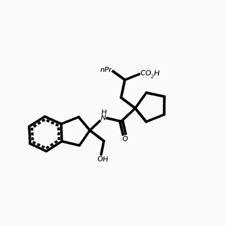 CCCC(CC1(C(=O)NC2(CO)Cc3ccccc3C2)CCCC1)C(=O)O